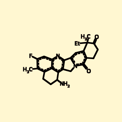 CCC1(C)C(=O)CCc2c1cc1n(c2=O)Cc2c-1nc1cc(F)c(C)c3c1c2C(N)CC3